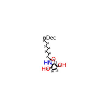 CCCCCCCCCCCCCCCCCC(=O)Nc1cc(O)ccc1O